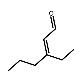 CCCC(=CC=O)CC